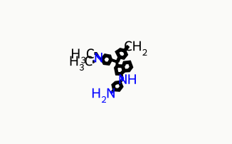 C=c1ccc(=C(c2ccc(N(CC)CC)cc2)c2ccc(Nc3ccc(N)cc3)c3ccccc23)cc1